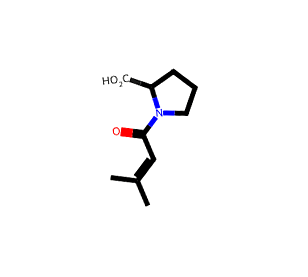 CC(C)=CC(=O)N1CCCC1C(=O)O